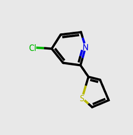 Clc1ccnc(-c2cccs2)c1